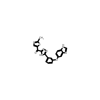 Cc1ncc(C(=O)c2nnc(-c3cccc(Oc4ccc5[nH]cnc5c4)c3)[nH]2)s1